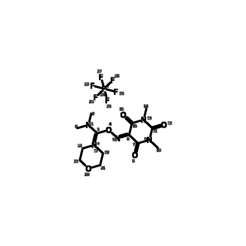 CN(C)C(ON=C1C(=O)N(C)C(=O)N(C)C1=O)=[N+]1CCOCC1.F[P-](F)(F)(F)(F)F